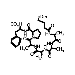 CCCCCCCCCCCCCC(=O)NC(C)C(=O)NC(C)C(=O)NC(C)C(=O)NC(C)C(=O)N1CCCC1C(=O)NC(Cc1ccccc1)C(=O)O